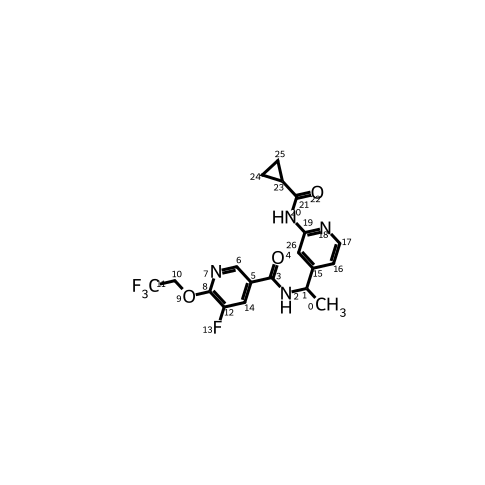 CC(NC(=O)c1cnc(OCC(F)(F)F)c(F)c1)c1ccnc(NC(=O)C2CC2)c1